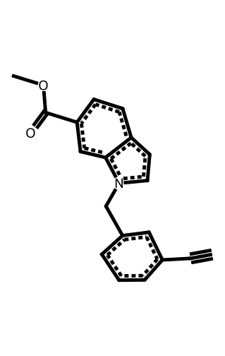 C#Cc1cccc(Cn2ccc3ccc(C(=O)OC)cc32)c1